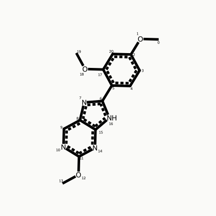 COc1ccc(-c2nc3cnc(OC)nc3[nH]2)c(OC)c1